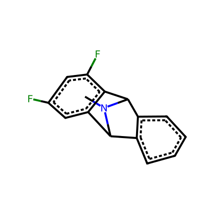 CN1C2c3ccccc3C1c1c(F)cc(F)cc12